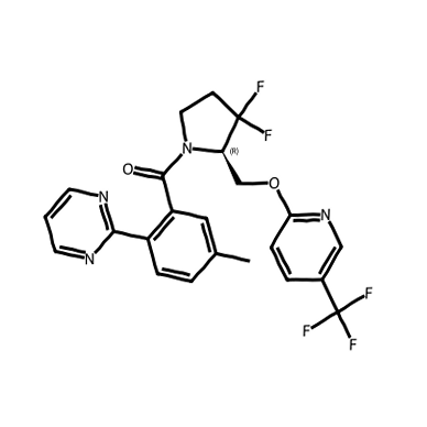 Cc1ccc(-c2ncccn2)c(C(=O)N2CCC(F)(F)[C@H]2COc2ccc(C(F)(F)F)cn2)c1